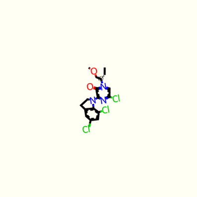 CC[C@@H](COC)n1cc(Cl)nc(N2CCc3cc(Cl)cc(Cl)c32)c1=O